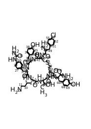 C[C@@H](O)C1NC(=O)[C@H](CCCCN)NC(=O)[C@@H](Cc2ccc(NC(N)=O)cc2)NC(=O)[C@H](Cc2ccc(O)cc2)NC(=O)[C@@H](NC(=O)[C@H](N)Cc2ccc(Cl)cc2)CSSC[C@@H](C(=O)N[C@H](Cc2ccc(O)cc2)C(N)=O)NC1=O